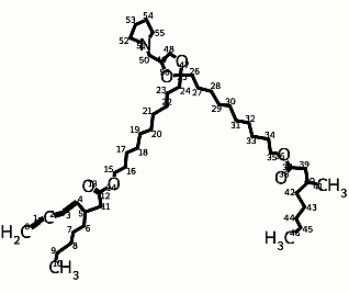 C=C=C=C=CC(CCCCC)CC(=O)OCCCCCCCCCCC1(CCCCCCCCCCOC(=O)CC(C)CCCCC)OCC(CN2CCCC2)O1